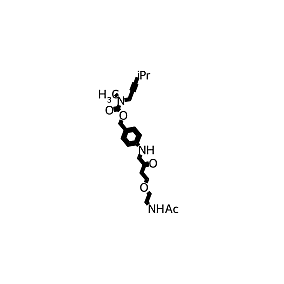 CC(=O)NCCOCCC(=O)CNc1ccc(COC(=O)N(C)CC#CC(C)C)cc1